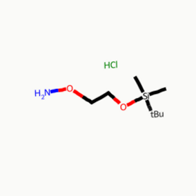 CC(C)(C)[Si](C)(C)OCCON.Cl